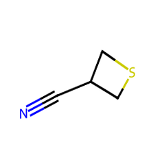 N#CC1CSC1